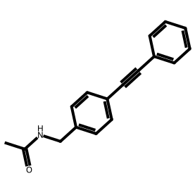 CC(=O)NCc1ccc(C#Cc2ccccc2)cc1